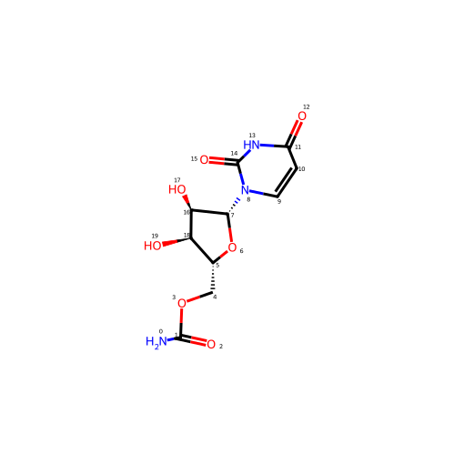 NC(=O)OC[C@H]1O[C@@H](n2ccc(=O)[nH]c2=O)[C@H](O)[C@@H]1O